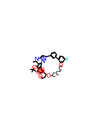 Cc1nc2cc3nn2c(c1[C@H](OC(C)(C)C)C(=O)O)-c1ccc2c(c1)C(CCO2)OCCCCCOc1cc(F)ccc1-c1cccc-3c1